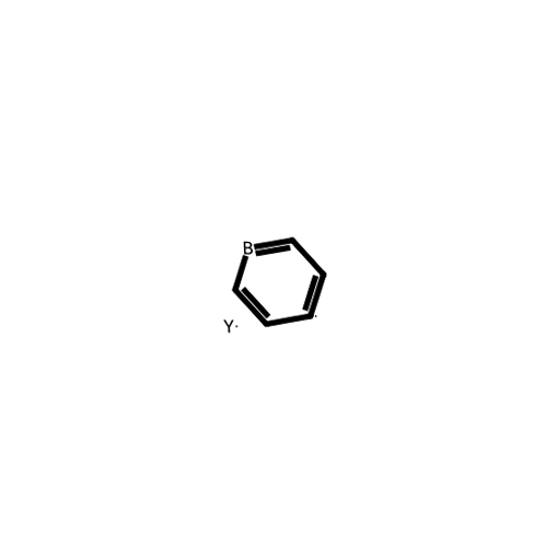 [Y].b1cc[c]cc1